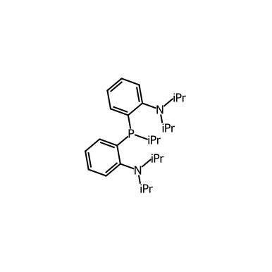 CC(C)N(c1ccccc1P(c1ccccc1N(C(C)C)C(C)C)C(C)C)C(C)C